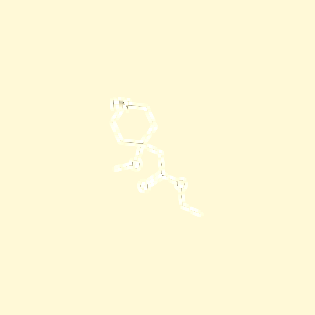 CCOC(=O)CC1(OC)CCNCC1